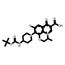 CC1COc2c(N3CCC(NC(=O)OC(C)(C)C)CC3)c(F)cc3c(=O)c(C(=O)O)cn1c23